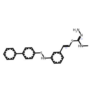 CN/C(=N/N)S/C=C/c1cccc(NSc2ccc(-c3ccccc3)cc2)c1